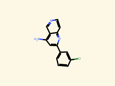 Nc1cc(-c2cccc(Cl)c2)nc2ccncc12